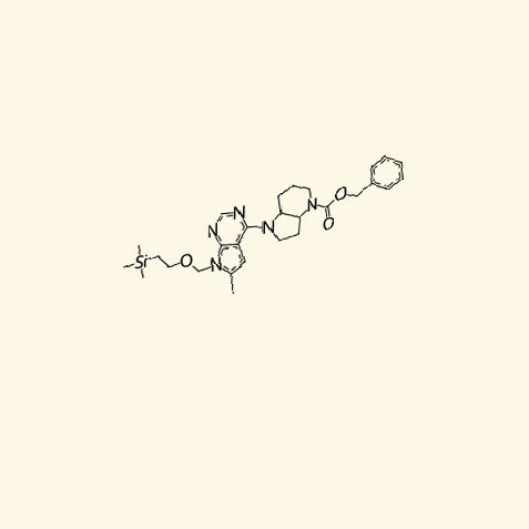 Cc1cc2c(N3CCC4C3CCCN4C(=O)OCc3ccccc3)ncnc2n1COCC[Si](C)(C)C